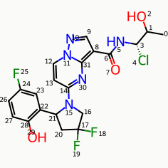 CC(O)[C@H](Cl)NC(=O)c1cnn2ccc(N3CC(F)(F)CC3c3cc(F)ccc3O)nc12